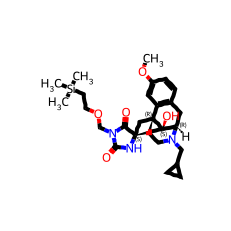 COc1ccc2c(c1)[C@]13CCN(CC4CC4)[C@H](C2)[C@]1(O)CC[C@@]1(C3)NC(=O)N(COCC[Si](C)(C)C)C1=O